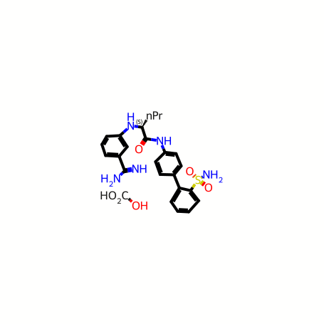 CCC[C@H](Nc1cccc(C(=N)N)c1)C(=O)Nc1ccc(-c2ccccc2S(N)(=O)=O)cc1.O=C(O)O